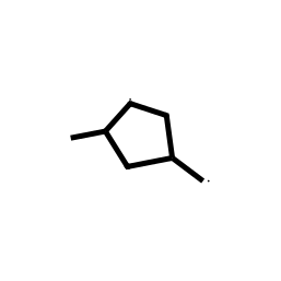 [CH2]C1C[CH]C(C)C1